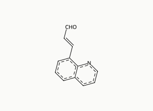 O=CC=Cc1cccc2cccnc12